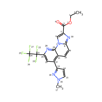 CCOC(=O)c1cn2c(ccc3c(-c4ccn(C)n4)cc(C(F)(F)C(F)(F)F)nc32)n1